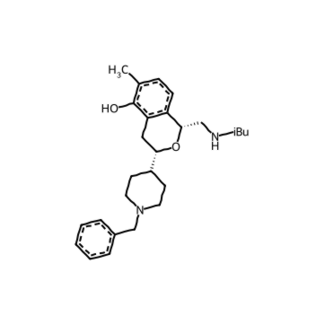 CCC(C)NC[C@@H]1O[C@H](C2CCN(Cc3ccccc3)CC2)Cc2c1ccc(C)c2O